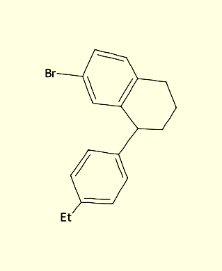 CCc1ccc(C2CCCc3ccc(Br)cc32)cc1